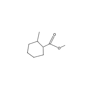 COC(=O)C1CCCC[C]1C